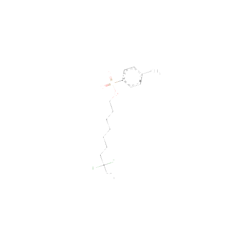 Cc1ccc(S(=O)(=O)OCCCCCCCC(F)(F)C(F)(F)F)cc1